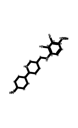 CCCC1CCC(C2CCC(COc3ccc(OC)c(F)c3F)CO2)CC1